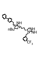 CCCC[C@H]1CN(CCCC[C@H]2CNC(=N)N2CCc2cccc(C(F)(F)F)c2)C(=N)N1CCc1ccc(-c2ccccc2)cc1